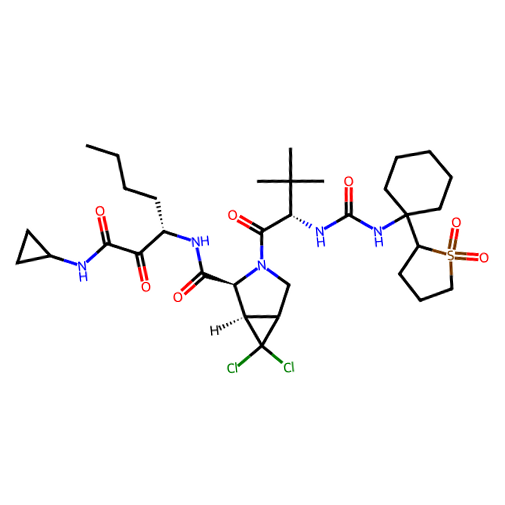 CCCC[C@H](NC(=O)[C@@H]1[C@H]2C(CN1C(=O)[C@@H](NC(=O)NC1(C3CCCS3(=O)=O)CCCCC1)C(C)(C)C)C2(Cl)Cl)C(=O)C(=O)NC1CC1